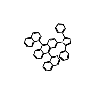 c1ccc(-c2ccc(-c3ccccc3)n2-c2ccc3c(-c4nccc5ccccc45)c4ccccc4c(-c4nccc5ccccc45)c3c2)cc1